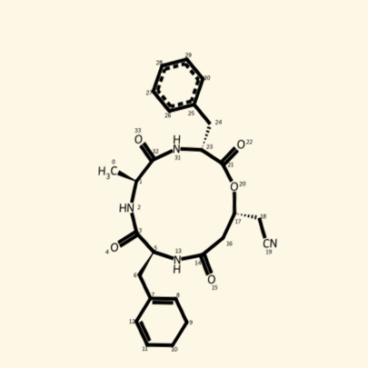 C[C@@H]1NC(=O)[C@H](CC2=CCCC=C2)NC(=O)C[C@@H](CC#N)OC(=O)[C@@H](Cc2ccccc2)NC1=O